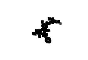 CCN(CC)C(=O)Nc1cn(C2CCCCO2)nc1-c1nc2cc(F)c(OCCCN(C)C)cc2[nH]1